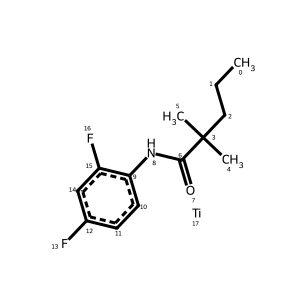 CCCC(C)(C)C(=O)Nc1ccc(F)[c]c1F.[Ti]